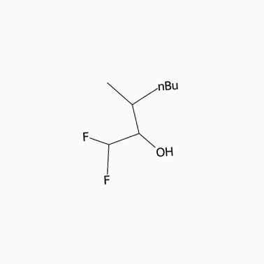 CCCCC(C)C(O)C(F)F